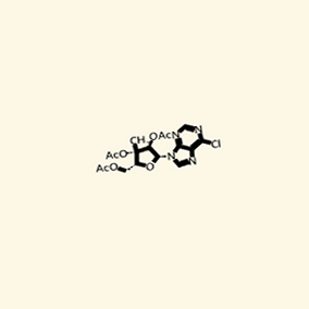 CC(=O)OC[C@H]1O[C@@H](n2cnc3c(Cl)ncnc32)[C@H](OC(C)=O)[C@@]1(C)OC(C)=O